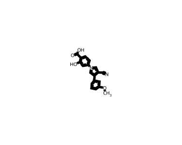 COc1cccc(-c2cn(-c3ccc(C(=O)O)c(O)c3)cc2C#N)c1